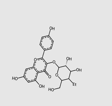 CCC1C(CO)OC(Oc2c(-c3ccc(O)cc3)oc3cc(O)cc(O)c3c2=O)[C@H](O)C1O